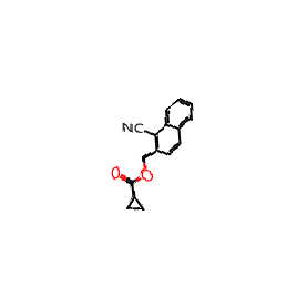 N#Cc1c(COC(=O)C2CC2)ccc2ccccc12